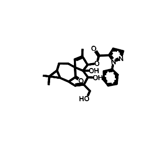 CC1=CC23CCC4C(C(C=C(CO)C(O)C2(O)C1OC(=O)c1ccnn1-c1ccccc1)C3=O)C4(C)C